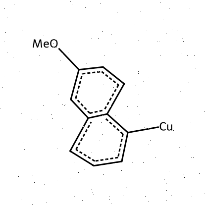 COc1ccc2[c]([Cu])cccc2c1